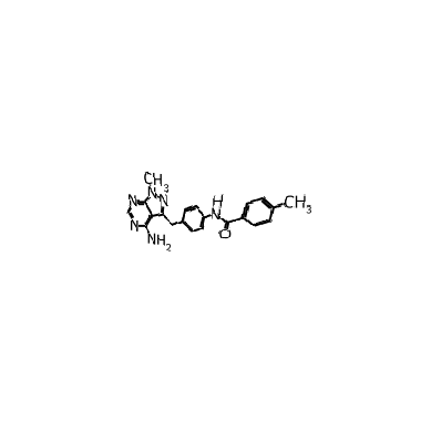 Cc1ccc(C(=O)Nc2ccc(Cc3nn(C)c4ncnc(N)c34)cc2)cc1